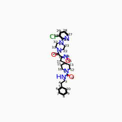 O=C(NCCc1ccccc1)N1CCC2(CC1)CC(C(=O)N1CCN(c3ncccc3Cl)CC1)=NO2